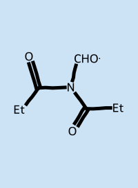 CCC(=O)N([C]=O)C(=O)CC